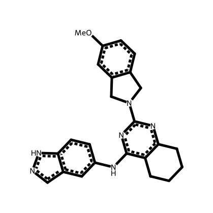 COc1ccc2c(c1)CN(c1nc3c(c(Nc4ccc5[nH]ncc5c4)n1)CCCC3)C2